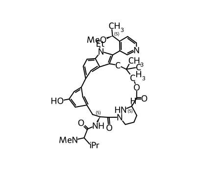 CCn1c(-c2cnccc2[C@H](C)OC)c2c3cc(ccc31)-c1cc(O)cc(c1)C[C@H](NC(=O)C(NC)C(C)C)C(=O)N1CCC[C@H](N1)C(=O)OCC(C)(C)C2